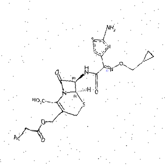 CC(=O)CC(=O)OCC1=C(C(=O)O)N2C(=O)[C@@H](NC(=O)/C(=N/OCC3CC3)c3csc(N)n3)[C@H]2SC1